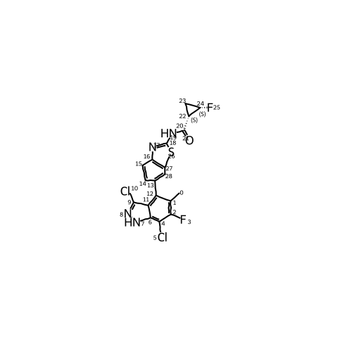 Cc1c(F)c(Cl)c2[nH]nc(Cl)c2c1-c1ccc2nc(NC(=O)[C@@H]3C[C@@H]3F)sc2c1